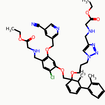 CCOC(=O)CNCc1cn(CCCOC2(COc3cc(OCc4cncc(C#N)c4)c(CNCC(=O)OCC)cc3Cl)C=CC=C(c3ccccc3C)C2C)nn1